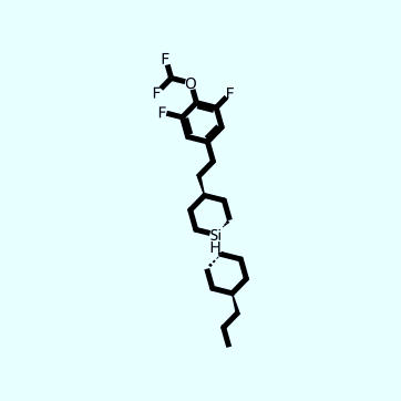 CCC[C@H]1CC[C@H]([Si@H]2CC[C@H](CCc3cc(F)c(OC(F)F)c(F)c3)CC2)CC1